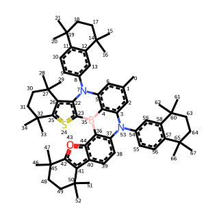 Cc1cc2c3c(c1)N(c1ccc4c(c1)C(C)(C)CCC4(C)C)c1c(sc4c1C(C)(C)CCC4(C)C)B3c1c(ccc3c4c(oc13)C(C)(C)CCC4(C)C)N2c1ccc2c(c1)C(C)(C)CCC2(C)C